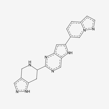 c1cc2ccc(-c3cc4nc(C5Cc6[nH]ncc6CN5)ncc4[nH]3)cn2n1